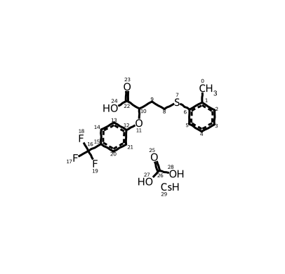 Cc1ccccc1SCCC(Oc1ccc(C(F)(F)F)cc1)C(=O)O.O=C(O)O.[CsH]